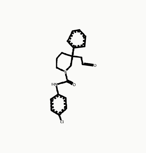 O=CCC1(c2ccccc2)CCCN(C(=O)Nc2ccc(Cl)cc2)C1